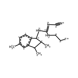 Cc1ccc2c(c1)C(C)C(C)C2N/C(=N/C#N)NCCF